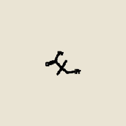 CC(C)CC(C)(C)C(=O)C(C)C